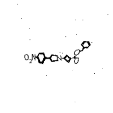 O=C(OCc1ccccc1)[C@H]1C[C@@H](N2CCC(c3ccc([N+](=O)[O-])cc3)CC2)C1